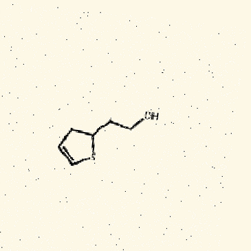 OCCC1CC=CS1